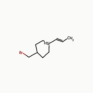 CC=C[SiH]1CCC(CBr)CC1